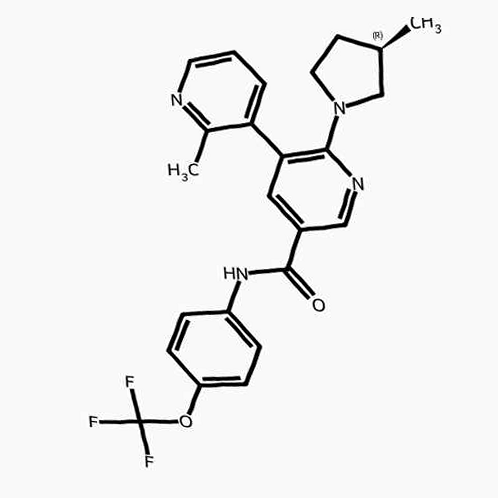 Cc1ncccc1-c1cc(C(=O)Nc2ccc(OC(F)(F)F)cc2)cnc1N1CC[C@@H](C)C1